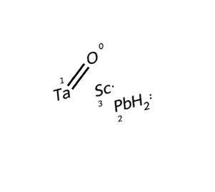 [O]=[Ta].[PbH2].[Sc]